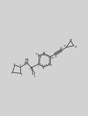 O=C(NC1CCC1)c1ccc(C#CC2CC2)cn1